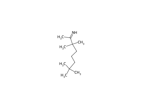 CC(=N)C(C)(C)CCCC(C)(C)C